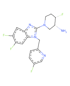 N[C@@H]1CN(c2nc3cc(F)c(F)cc3n2Cc2ccc(F)cn2)CC[C@@H]1F